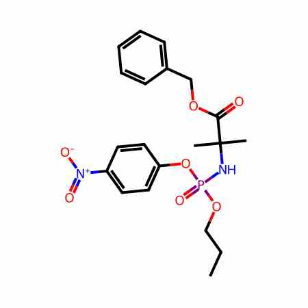 CCCOP(=O)(NC(C)(C)C(=O)OCc1ccccc1)Oc1ccc([N+](=O)[O-])cc1